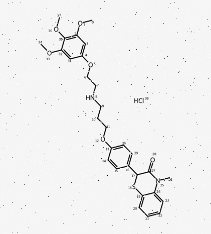 COc1cc(OCCNCCCOc2ccc(C3Sc4ccccc4N(C)C3=O)cc2)cc(OC)c1OC.Cl